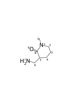 CN1CCCC(CN)C1=O